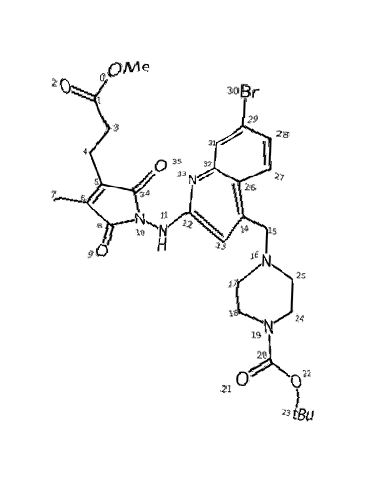 COC(=O)CCC1=C(C)C(=O)N(Nc2cc(CN3CCN(C(=O)OC(C)(C)C)CC3)c3ccc(Br)cc3n2)C1=O